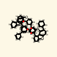 c1ccc(-c2nc(-c3ccccc3)nc(-c3cc(-c4cccc5oc6ccc7c8ccccc8n(-c8ccccc8)c7c6c45)ccc3-c3ccc4oc5ccc6c7ccccc7n(-c7ccccc7)c6c5c4c3)n2)cc1